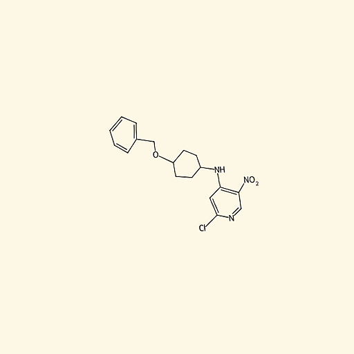 O=[N+]([O-])c1cnc(Cl)cc1NC1CCC(OCc2ccccc2)CC1